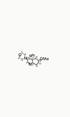 [CH2]CCc1c(N2CCOCC2)cnc2ccc(OC)cc12